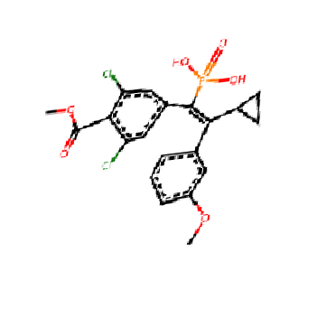 COC(=O)c1c(Cl)cc(C(=C(c2cccc(OC)c2)C2CC2)P(=O)(O)O)cc1Cl